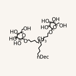 CCCCCCCCCCCCCC[N+](C)(CCCCO[C@@H]1O[C@H](CO)[C@@H](O)[C@H](O)[C@H]1O)CCCCO[C@@H]1O[C@H](CO)[C@@H](O)[C@H](O)[C@H]1O